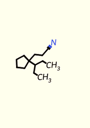 CCC(CC)C1(CCC#N)CCCC1